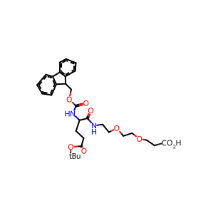 CC(C)(C)OC(=O)CCC(NC(=O)OCC1c2ccccc2-c2ccccc21)C(=O)NCCOCCOCCC(=O)O